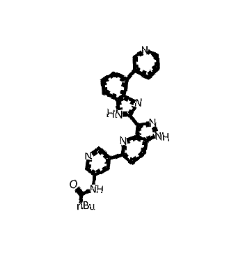 CCCCC(=O)Nc1cncc(-c2ccc3[nH]nc(-c4nc5c(-c6cccnc6)cccc5[nH]4)c3n2)c1